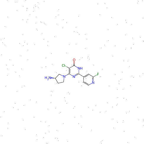 N[C@@H]1CCN(c2nc(-c3ccnc(F)c3)[nH]c(=O)c2Cl)C1